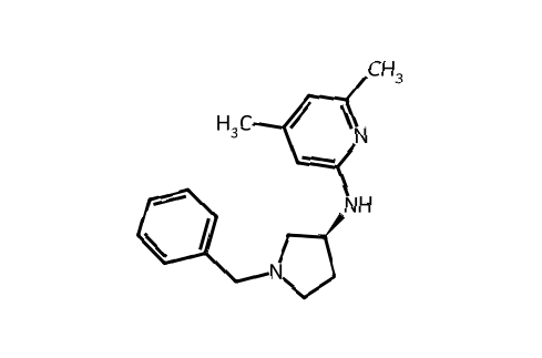 Cc1cc(C)nc(N[C@H]2CCN(Cc3ccccc3)C2)c1